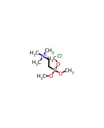 CO[Si](CC[N+](C)(C)C)(OC)OC.[Cl-]